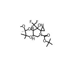 CO[C@@]1(C)O[C@H]2[C@@H](CN(C(=O)OC(C)(C)C)C3(CC3)C2(O)C(F)(F)F)OC1(C)C